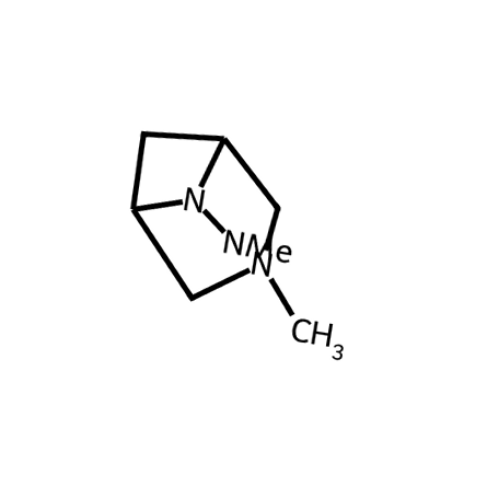 CNN1C2CC1CN(C)C2